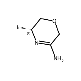 NC1=N[C@H](I)COC1